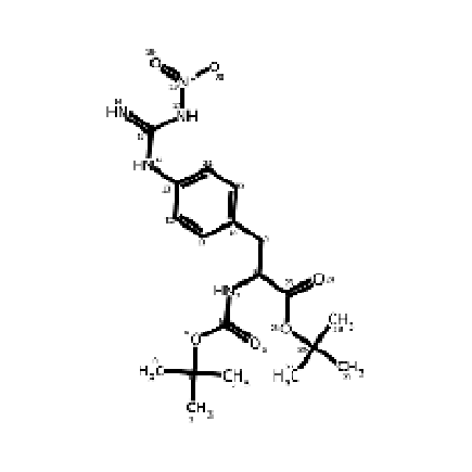 CC(C)(C)OC(=O)NC(Cc1ccc(NC(=N)N[N+](=O)[O-])cc1)C(=O)OC(C)(C)C